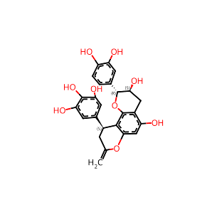 C=C1C[C@@H](c2cc(O)c(O)c(O)c2)c2c(cc(O)c3c2O[C@H](c2ccc(O)c(O)c2)[C@@H](O)C3)O1